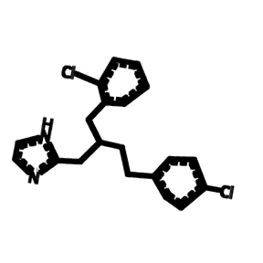 Clc1ccc(CCC(Cc2ncc[nH]2)Cc2ccccc2Cl)cc1